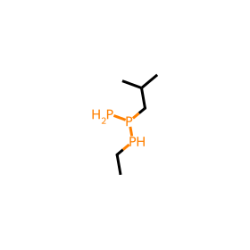 CCPP(P)CC(C)C